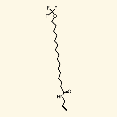 C=CCNC(=O)CCCCCCCCCCCCCCCOC(F)(F)F